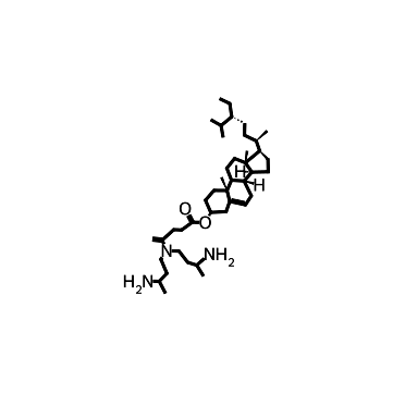 C=C(CCC(=O)O[C@H]1CC[C@@]2(C)C(=CC[C@@H]3C2CC[C@]2(C)[C@@H]([C@H](C)CC[C@@H](CC)C(C)C)CC[C@@H]32)C1)N(CCC(C)N)CCC(C)N